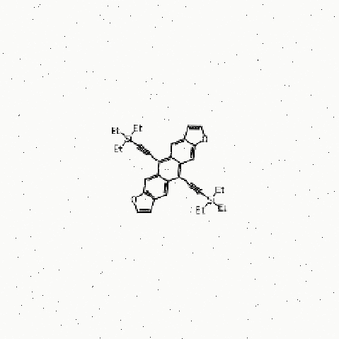 CC[Si](C#Cc1c2cc3ccoc3cc2c(C#C[Si](CC)(CC)CC)c2cc3ccoc3cc12)(CC)CC